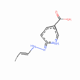 CC=CNN=c1ccc(C(=O)O)c[nH]1